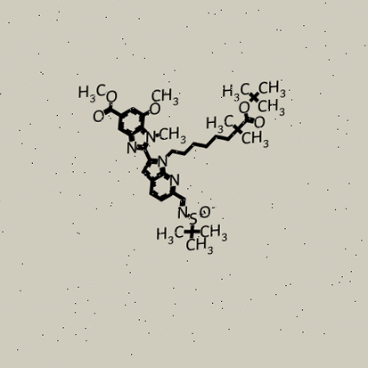 COC(=O)c1cc(OC)c2c(c1)nc(-c1cc3ccc(/C=N/[S+]([O-])C(C)(C)C)nc3n1CCCCCCC(C)(C)C(=O)OC(C)(C)C)n2C